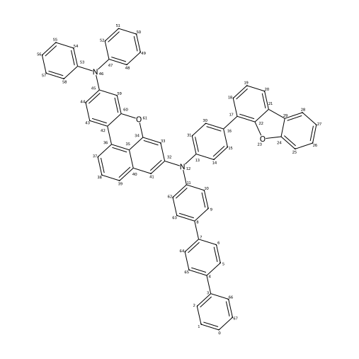 c1ccc(-c2ccc(-c3ccc(N(c4ccc(-c5cccc6c5oc5ccccc56)cc4)c4cc5c6c(cccc6c4)-c4ccc(N(c6ccccc6)c6ccccc6)cc4O5)cc3)cc2)cc1